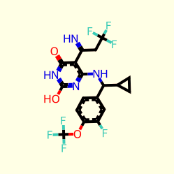 N=C(CC(F)(F)F)c1c(NC(c2ccc(OC(F)(F)F)c(F)c2)C2CC2)nc(O)[nH]c1=O